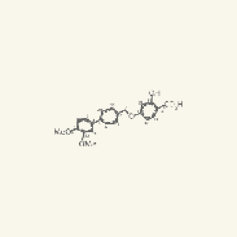 COc1ccc(-c2ccc(COc3ccc(C(=O)O)c(O)c3)cc2)cc1OC